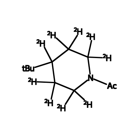 [2H]C1([2H])N(C(C)=O)C([2H])([2H])C([2H])([2H])C([2H])(C(C)(C)C)C1([2H])[2H]